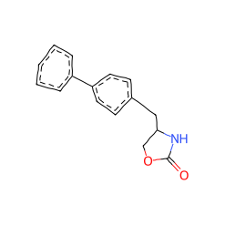 O=C1NC(Cc2ccc(-c3ccccc3)cc2)CO1